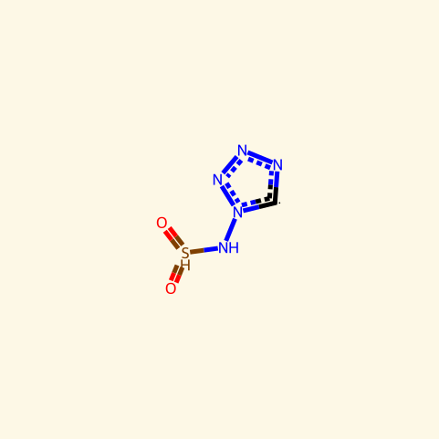 O=[SH](=O)Nn1[c]nnn1